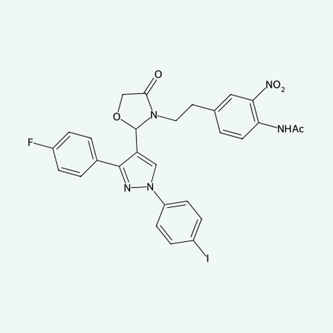 CC(=O)Nc1ccc(CCN2C(=O)COC2c2cn(-c3ccc(I)cc3)nc2-c2ccc(F)cc2)cc1[N+](=O)[O-]